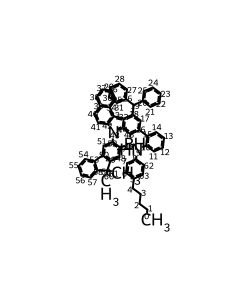 CCCCCc1ccc(Nc2ccccc2-c2cc(C(c3ccccc3)c3ccccc3)c3c4c5ccccc5ccc4n4c3c2Bc2cc3c(cc2-4)-c2ccccc2C3(C)C)cc1